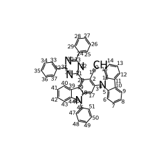 C#Cc1c(-n2c3ccccc3c3ccccc32)cc2c(c1-c1nc(-c3ccccc3)nc(-c3ccccc3)n1)c1ccccc1n2-c1ccccc1